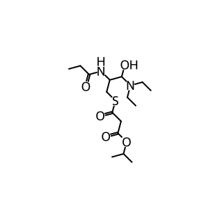 CCC(=O)NC(CSC(=O)CC(=O)OC(C)C)C(O)N(CC)CC